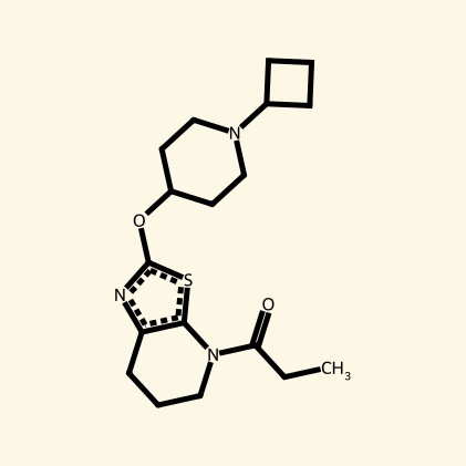 CCC(=O)N1CCCc2nc(OC3CCN(C4CCC4)CC3)sc21